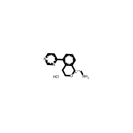 Cl.NC[C@@H]1OCCc2c(-c3ccncn3)cccc21